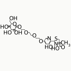 C[C@]1(C(=O)O)CSC(c2ncc(OCCOCCOCCO[C@H]3OC(CO)[C@H](O)C(O)[C@H]3O)cc2O)=N1